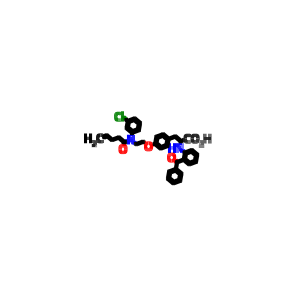 C=CCCC(=O)N(CCOc1ccc(CC(Nc2ccccc2C(=O)c2ccccc2)C(=O)O)cc1)c1cccc(Cl)c1